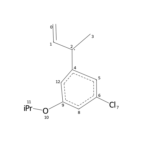 C=C[C](C)c1cc(Cl)cc(OC(C)C)c1